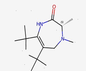 C[C@H]1C(=O)NC(C(C)(C)C)=C(C(C)(C)C)CN1C